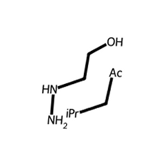 CC(=O)CC(C)C.NNCCO